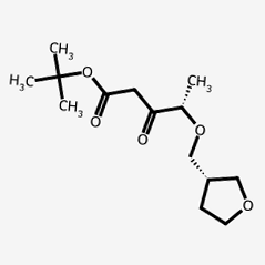 C[C@H](OC[C@H]1CCOC1)C(=O)CC(=O)OC(C)(C)C